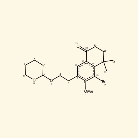 COc1c(CCOC2CCCCO2)cc2c(c1Br)C(C)(C)CCC2=O